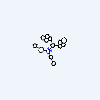 C1=CC(c2nc(-c3ccc(-c4ccccc4)cc3)nc(-c3cc(-c4ccc5ccc6c7c(ccc4c57)CCCC=6)cc(-c4ccc5ccc6cccc7ccc4c5c67)c3)n2)=CC=C(c2ccccc2)C1